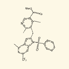 COC(=O)c1cnc(C)c(Cc2cc3c(C)cc(C(F)(F)F)cc3n2S(=O)(=O)c2ccccc2)c1C